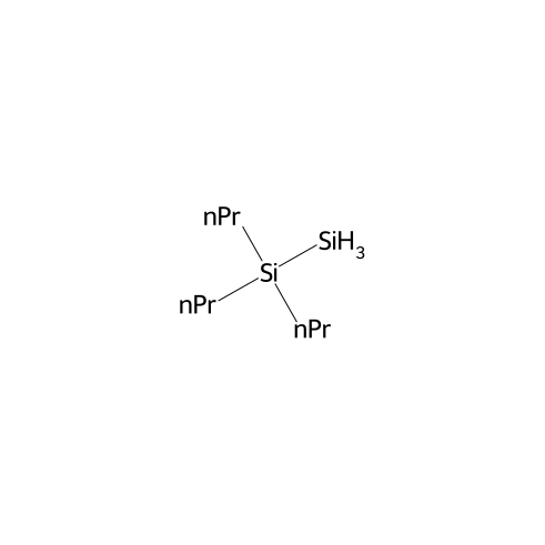 CCC[Si]([SiH3])(CCC)CCC